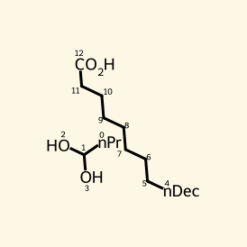 CCCC(O)O.CCCCCCCCCCCCCCCCCC(=O)O